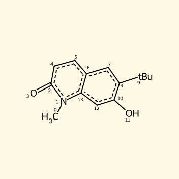 Cn1c(=O)ccc2cc(C(C)(C)C)c(O)cc21